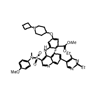 CCc1ncc(-c2cc(F)c3c(Nc4cc(OC5CCN(C6CCC6)CC5)cc(C(=O)OC)c4)c(S(=O)(=O)N(C)c4ccc(OC)cc4)cnc3c2)c(CC)n1